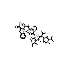 CCC(C)[C@@H]([C@@H](CC(=O)N1CCC[C@H]1[C@H](OC)[C@@H](C)C(=O)NC(Cc1ccccc1)C(=O)OC)OC)N(C)C(=O)[C@@H](NC(=O)[C@H](C(C)C)N(C)[C@H](C)I)C(C)C